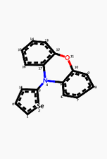 c1c[se]c(N2c3ccccc3Oc3ccccc32)c1